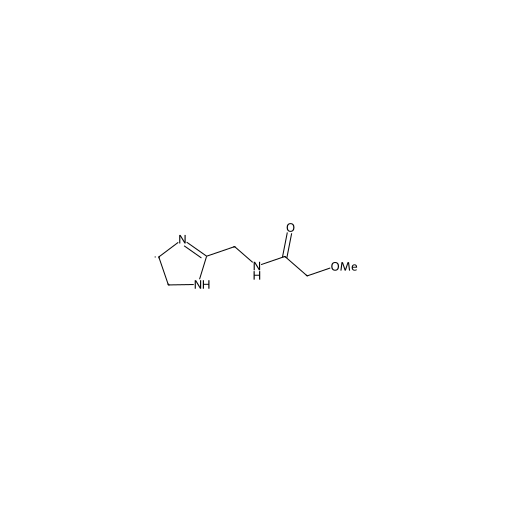 COCC(=O)NCC1=N[CH]CN1